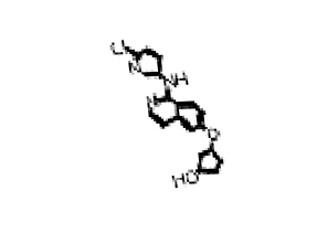 OC1CCC(Oc2ccc3c(Nc4ccc(Cl)nc4)nccc3c2)C1